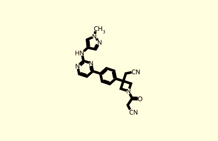 Cn1cc(Nc2nccc(-c3ccc(C4(CC#N)CN(C(=O)CC#N)C4)cc3)n2)cn1